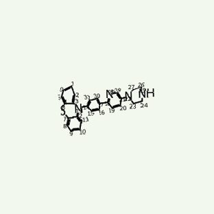 c1ccc2c(c1)Sc1ccccc1N2c1ccc(-c2ccc(N3CCNCC3)cn2)cc1